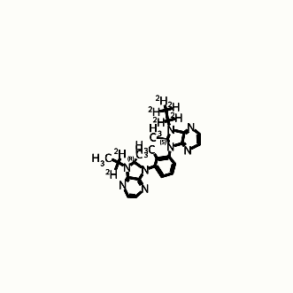 [2H]C([2H])(C)N1c2nccnc2N(c2cccc(N3c4nccnc4N(C([2H])([2H])C([2H])([2H])[2H])[C@@H]3C)c2C)[C@@H]1C